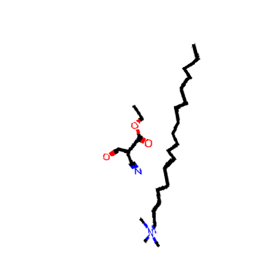 CCCCCCCCCCCCCCCCCC[N+](C)(C)C.CCOC(=O)C(C#N)C=O